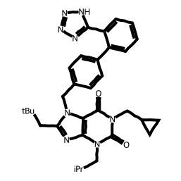 CC(C)Cn1c(=O)n(CC2CC2)c(=O)c2c1nc(CC(C)(C)C)n2Cc1ccc(-c2ccccc2-c2nnn[nH]2)cc1